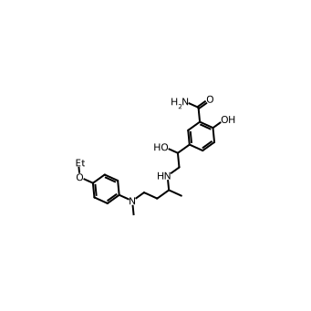 CCOc1ccc(N(C)CCC(C)NCC(O)c2ccc(O)c(C(N)=O)c2)cc1